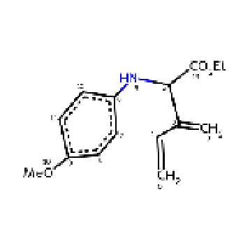 C=CC(=C)C(Nc1ccc(OC)cc1)C(=O)OCC